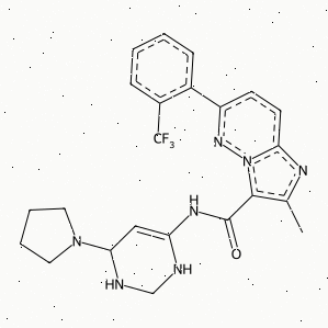 Cc1nc2ccc(-c3ccccc3C(F)(F)F)nn2c1C(=O)NC1=CC(N2CCCC2)NCN1